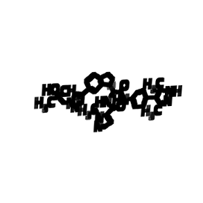 Cc1n[nH]c(C)c1-c1ccc(NC(=O)C(NC(=O)c2ccnn2C)[C@@H]2CCc3ccc(-c4cnn(CC(C)(C)O)c4)cc32)cc1